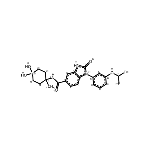 CC1(NC(=O)c2ccc3c(c2)[nH]c(=O)n3-c2cccc(OC(F)F)c2)CCS(O)(O)CC1